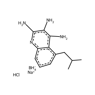 CC(C)Cc1cccc2nc(N)c(N)c(N)c12.Cl.[BH4-].[Na+]